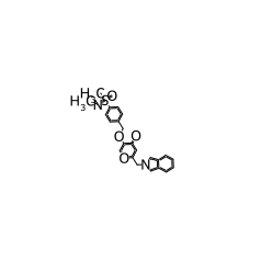 CN=S(C)(=O)c1ccc(COc2coc(Cn3cc4ccccc4c3)cc2=O)cc1